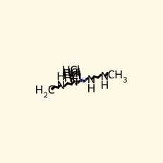 C=CCNCCCNC/C=C/CNCCCNCC.Cl.Cl.Cl.Cl